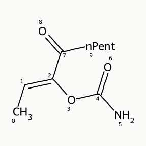 C/C=C(\OC(N)=O)C(=O)CCCCC